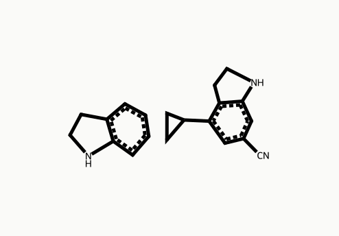 N#Cc1cc2c(c(C3CC3)c1)CCN2.c1ccc2c(c1)CCN2